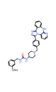 COc1cccc(CNC(=O)NC2CCN(Cc3ccc(-c4nnc5n4-c4cccnc4Nc4ccccc4-5)cc3)CC2)c1